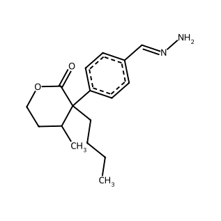 CCCCC1(c2ccc(C=NN)cc2)C(=O)OCCC1C